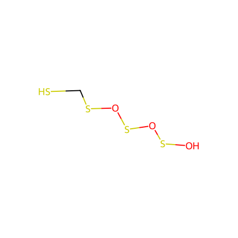 OSOSOSCS